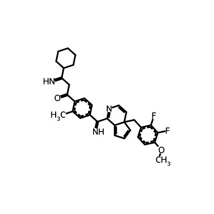 COc1ccc(CC23C=CC=C2C(C(=N)c2ccc(C(=O)CC(=N)C4CCCCC4)c(C)c2)=NC=C3)c(F)c1F